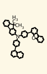 CC1(C)c2ccccc2-c2ccc(N(c3ccc(-c4cccc5ccccc45)cc3)c3ccc(-c4cccc5c4oc4ccccc45)cc3)cc21